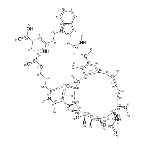 CNN(C)Cc1cc2ccccc2n1CCC(=O)N[C@@H](CCC(=O)O)C(=O)NCCCC(=O)N(C)[C@@H](C)C(=O)O[C@H]1CC(=O)N(C)c2cc(cc(OC)c2Cl)C/C(C)=C/C=C/[C@@H](OC)[C@@]2(O)C[C@H](OC(=O)N2)[C@@H](C)[C@@H]2O[C@]12C